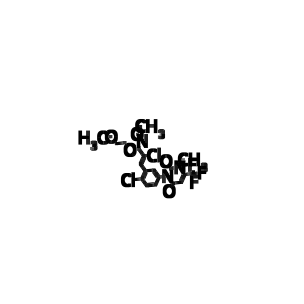 COCCOC(=NOC)C(Cl)=Cc1cc(-n2c(=O)cc(C(F)(F)F)n(C)c2=O)ccc1Cl